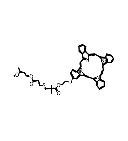 COC(C)CCOC(=O)CCSCC(C)(C)C(=O)OCCOc1ccc2c3cc4nc(cc5[nH]c(cc6nc(cc([nH]3)c2c1)-c1ccccc1-6)c1ccccc51)-c1ccccc1-4